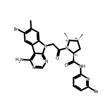 Cc1cc2c(cc1Br)c1c(N)ncnc1n2CC(=O)N1[C@H](C)[C@H](C)C[C@H]1C(=O)Nc1cccc(Br)n1